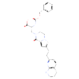 O=C(N[C@@H](CN1CCn2cc(CCc3ccc4c(n3)NCCC4)cc2C1=O)C(=O)O)OCc1ccccc1